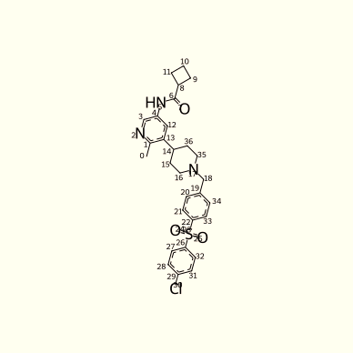 Cc1ncc(NC(=O)C2CCC2)cc1C1CCN(Cc2ccc(S(=O)(=O)c3ccc(Cl)cc3)cc2)CC1